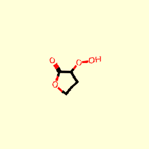 O=C1OCCC1OO